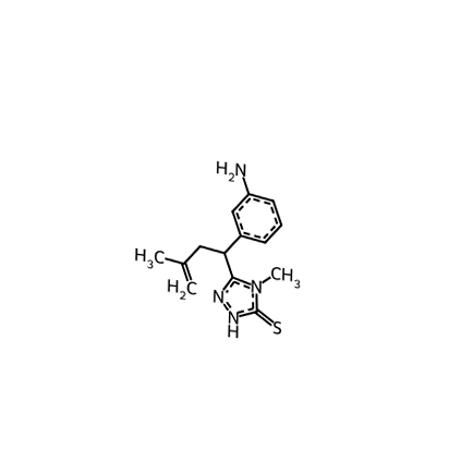 C=C(C)CC(c1cccc(N)c1)c1n[nH]c(=S)n1C